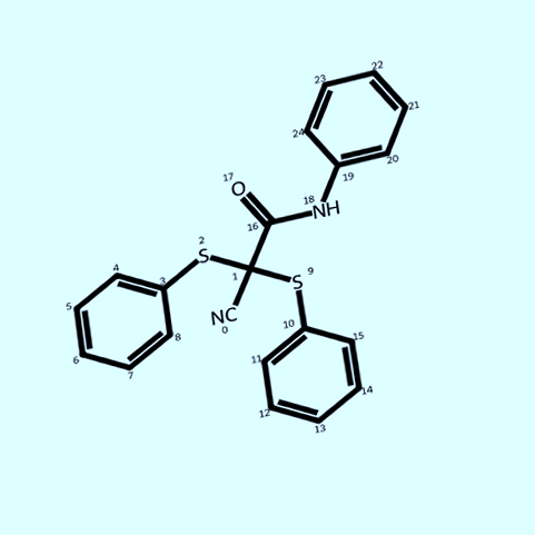 N#CC(Sc1ccccc1)(Sc1ccccc1)C(=O)Nc1ccccc1